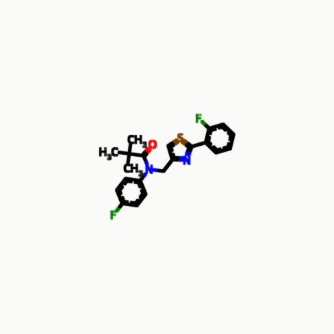 CC(C)(C)C(=O)N(Cc1csc(-c2ccccc2F)n1)c1ccc(F)cc1